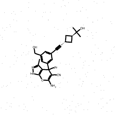 Cc1n[nH]c2c1C(c1cc(C#C[C@H]3C[C@H](C(C)(C)O)C3)cc(CO)c1)(C(C)C)C(C#N)=C(N)O2